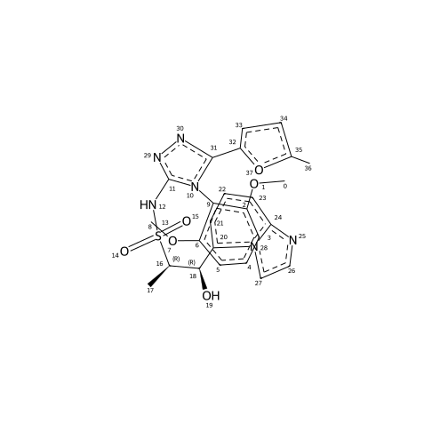 COc1cccc(OC)c1-n1c(NS(=O)(=O)[C@H](C)[C@H](O)c2cccc3nccn23)nnc1-c1ccc(C)o1